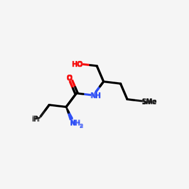 CSCCC(CO)NC(=O)[C@@H](N)CC(C)C